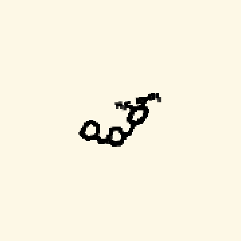 CNc1ccc(CN2CCN(CC3CCCCC3)CC2)cc1C